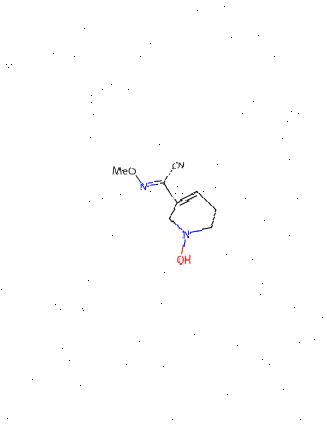 CON=C(C#N)C1=CCCN(O)C1